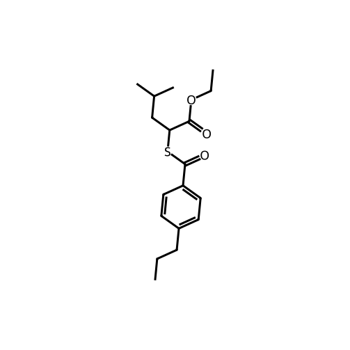 CCCc1ccc(C(=O)SC(CC(C)C)C(=O)OCC)cc1